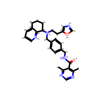 Cc1ncnc(C)c1C(=O)NCc1ccc(CN(CCc2cnco2)C2CCCc3cccnc32)cc1